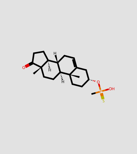 C[C@]12CC[C@@H](OP(C)(O)=S)CC1=CC[C@@H]1[C@@H]2CC[C@]2(C)C(=O)CC[C@@H]12